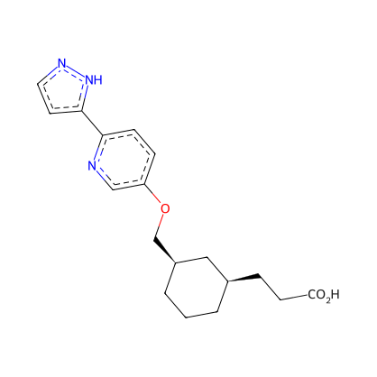 O=C(O)CC[C@H]1CCC[C@@H](COc2ccc(-c3ccn[nH]3)nc2)C1